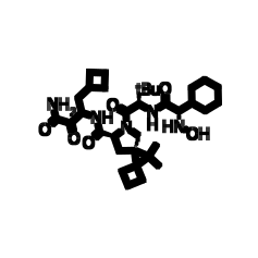 CC(C)(C)[C@H](NC(=O)[C@@H](NO)C1CCCCC1)C(=O)N1C[C@]2(C[C@H]1C(=O)NC(CC1CCC1)C(=O)C(N)=O)C(C)(C)C21CCC1